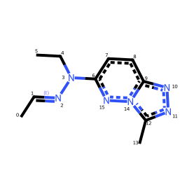 C/C=N/N(CC)c1ccc2nnc(C)n2n1